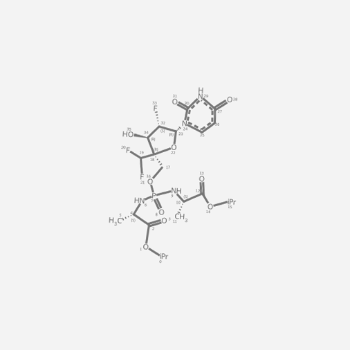 CC(C)OC(=O)[C@H](C)NP(=O)(N[C@@H](C)C(=O)OC(C)C)OC[C@@]1(C(F)F)O[C@@H](n2ccc(=O)[nH]c2=O)[C@@H](F)[C@@H]1O